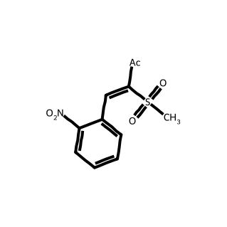 CC(=O)C(=Cc1ccccc1[N+](=O)[O-])S(C)(=O)=O